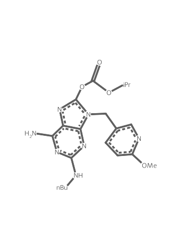 CCCCNc1nc(N)c2nc(OC(=O)OC(C)C)n(Cc3ccc(OC)nc3)c2n1